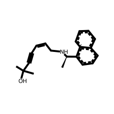 C[C@@H](NC/C=C\C#CC(C)(C)O)c1cccc2ccccc12